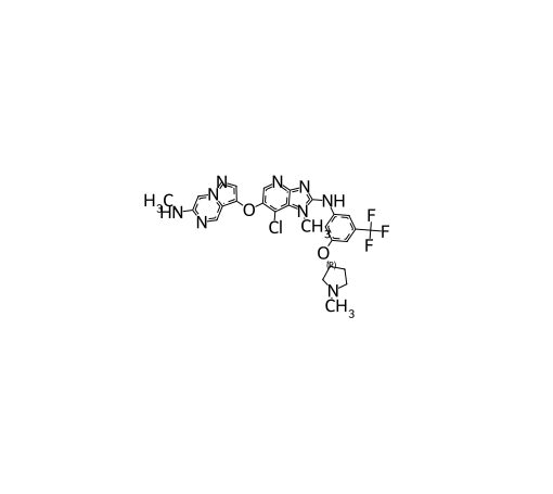 CNc1cn2ncc(Oc3cnc4nc(Nc5cc(O[C@@H]6CCN(C)C6)cc(C(F)(F)F)c5)n(C)c4c3Cl)c2cn1